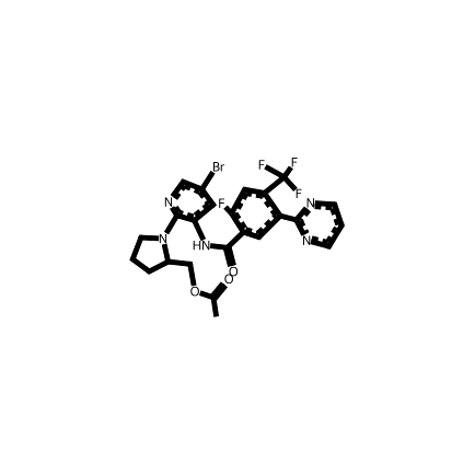 CC(=O)OCC1CCCN1c1ncc(Br)cc1NC(=O)c1cc(-c2ncccn2)c(C(F)(F)F)cc1F